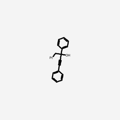 OC(C#Cc1ccccc1)([CH2][Pt])c1ccccc1